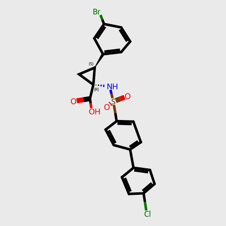 O=C(O)[C@@]1(NS(=O)(=O)c2ccc(-c3ccc(Cl)cc3)cc2)C[C@H]1c1cccc(Br)c1